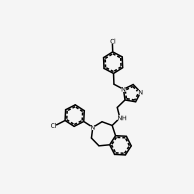 Clc1ccc(Cn2cncc2CNC2CN(c3cccc(Cl)c3)CCc3ccccc32)cc1